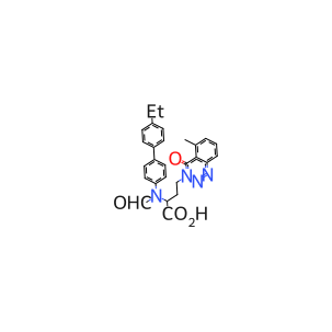 CCc1ccc(-c2ccc(N(C=O)C(CCn3nnc4cccc(C)c4c3=O)C(=O)O)cc2)cc1